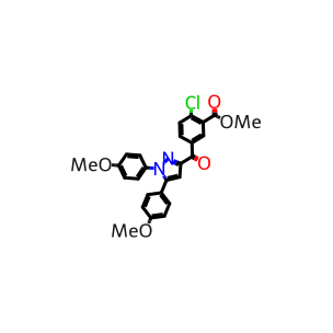 COC(=O)c1cc(C(=O)c2cc(-c3ccc(OC)cc3)n(-c3ccc(OC)cc3)n2)ccc1Cl